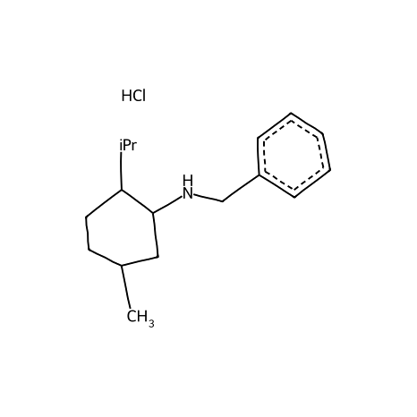 CC1CCC(C(C)C)C(NCc2ccccc2)C1.Cl